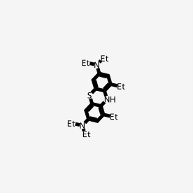 CCc1cc(N(CC)CC)cc2c1Nc1c(CC)cc(N(CC)CC)cc1S2